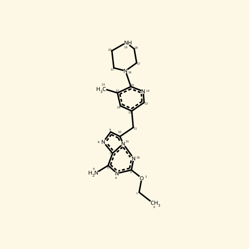 CCOc1nc(N)c2ncc(Cc3cnc(N4CCNCC4)c(C)c3)n2n1